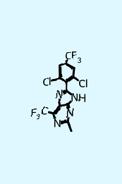 Cc1nc(C(F)(F)F)c2nc(-c3c(Cl)cc(C(F)(F)F)cc3Cl)[nH]c2n1